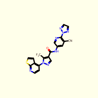 N#Cc1cc(NC(=O)c2cnn(-c3ccnc4sccc34)c2C(F)(F)F)cnc1-n1nccn1